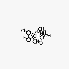 COCCCCC(O)(c1cccc(F)c1-c1cccc(Cl)c1)C1CCCN(C(=O)N2CC(N)C(O)C2)C1